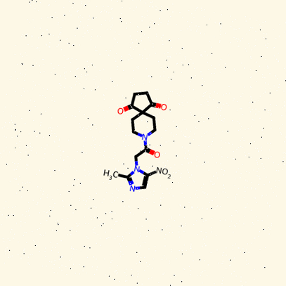 Cc1ncc([N+](=O)[O-])n1CC(=O)N1CCC2(CC1)C(=O)CCC2=O